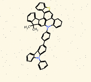 CC1(C)C2=CC(N(C3=C(C4=Cc5sc6ccccc6c5CC4)CCC=C3)c3ccc(-c4ccc5c(c4)c4ccccc4n5-c4ccccc4)cc3)=CCC2c2ccccc21